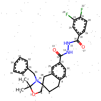 CC1(C)OC[C@@]2(CCc3ccc(C(=O)NNC(=O)c4ccc(F)c(F)c4)cc3C2)N1Cc1ccccc1